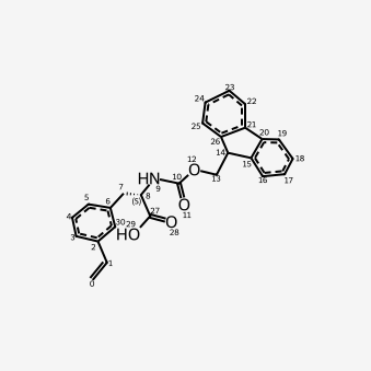 C=Cc1cccc(C[C@H](NC(=O)OCC2c3ccccc3-c3ccccc32)C(=O)O)c1